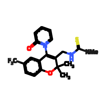 CNC(=S)NCC1=C(n2ccccc2=O)c2cc(C(F)(F)F)ccc2OC1(C)C